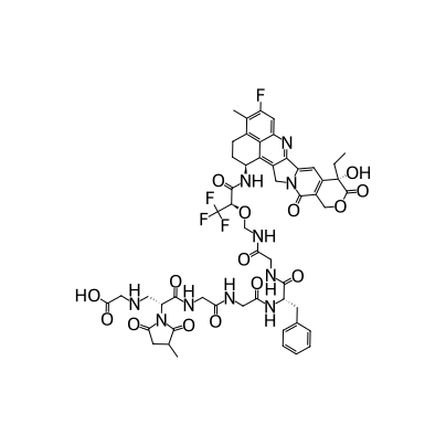 CC[C@@]1(O)C(=O)OCc2c1cc1n(c2=O)Cc2c-1nc1cc(F)c(C)c3c1c2[C@@H](NC(=O)[C@@H](OCNC(=O)CNC(=O)[C@H](Cc1ccccc1)NC(=O)CNC(=O)CNC(=O)[C@@H](CNCC(=O)O)N1C(=O)CC(C)C1=O)C(F)(F)F)CC3